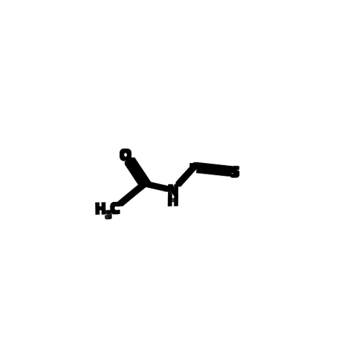 CC(=O)N[C]=S